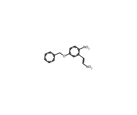 O=[N+]([O-])C=Cc1cc(OCc2ccccc2)ccc1[N+](=O)[O-]